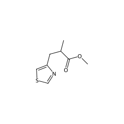 COC(=O)C(C)Cc1cscn1